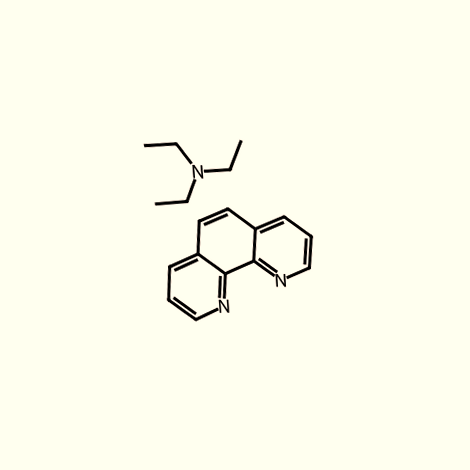 CCN(CC)CC.c1cnc2c(c1)ccc1cccnc12